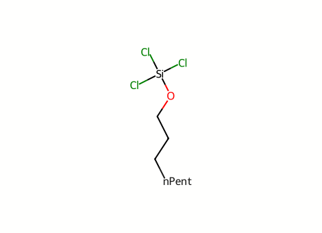 CCCCCCCCO[Si](Cl)(Cl)Cl